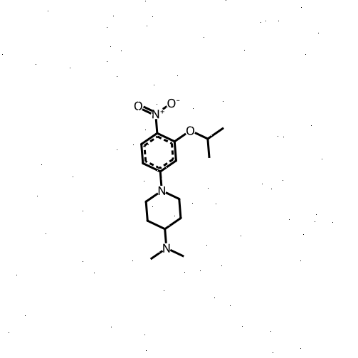 CC(C)Oc1cc(N2CCC(N(C)C)CC2)ccc1[N+](=O)[O-]